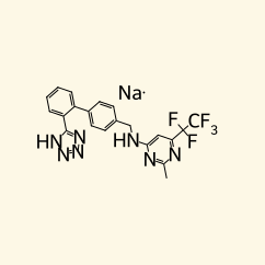 Cc1nc(NCc2ccc(-c3ccccc3-c3nnn[nH]3)cc2)cc(C(F)(F)C(F)(F)F)n1.[Na]